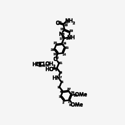 COc1ccc(CCNCC(O)COc2ccc(-c3nc(C(N)=O)c[nH]3)cc2)cc1OC.Cl.Cl.O